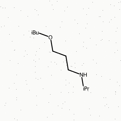 CCC(C)OCCCNC(C)C